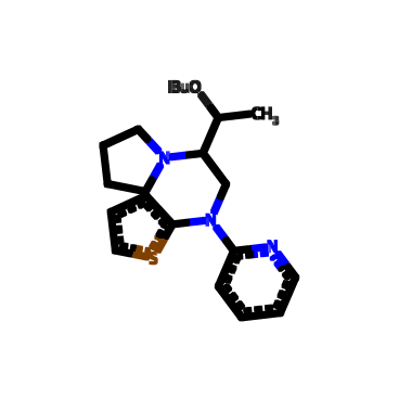 CC(C)COC(C)C(CN(c1ccccn1)c1cccs1)N1CCCC1